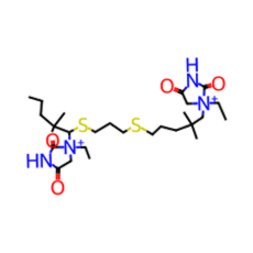 CCCC(C)(C)C(SCCCSCCCC(C)(C)C[N+]1(CC)CC(=O)NC1=O)[N+]1(CC)CC(=O)NC1=O